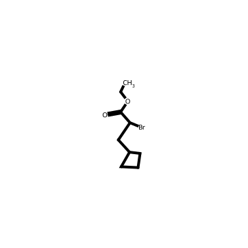 CCOC(=O)C(Br)CC1CCC1